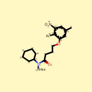 CCCCCCN(C(=O)CCCOc1cc(C)cc([N+](=O)[O-])c1C(C)=O)C1CCCCC1